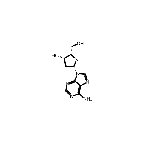 Nc1ncnc2c1ncn2[C@@H]1C[C@H](O)[C@H](CO)S1